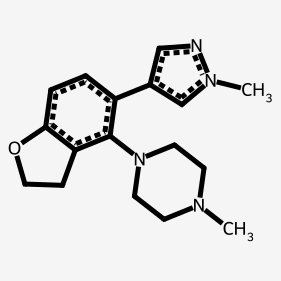 CN1CCN(c2c(-c3cnn(C)c3)ccc3c2CCO3)CC1